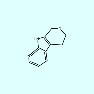 c1cnc2[nH]c3c(c2c1)CCOC3